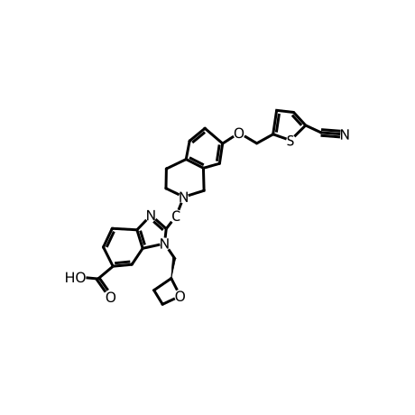 N#Cc1ccc(COc2ccc3c(c2)CN(Cc2nc4ccc(C(=O)O)cc4n2C[C@@H]2CCO2)CC3)s1